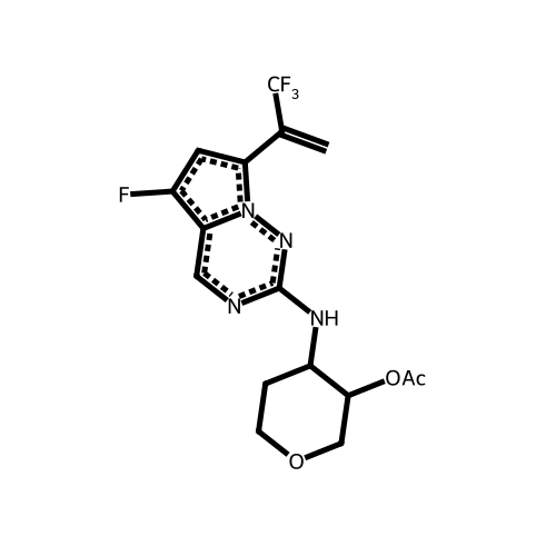 C=C(c1cc(F)c2cnc(NC3CCOCC3OC(C)=O)nn12)C(F)(F)F